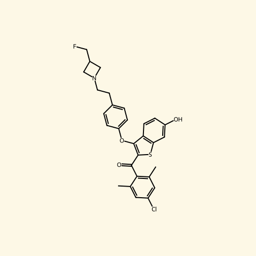 Cc1cc(Cl)cc(C)c1C(=O)c1sc2cc(O)ccc2c1Oc1ccc(CCN2CC(CF)C2)cc1